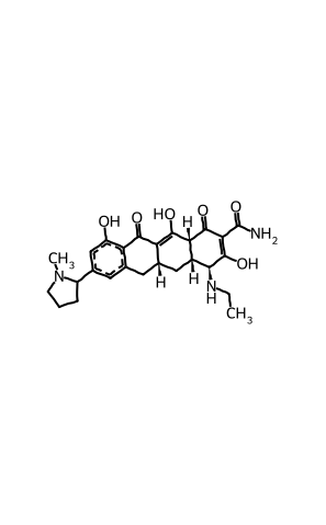 CCN[C@@H]1C(O)=C(C(N)=O)C(=O)[C@H]2C(O)=C3C(=O)c4c(O)cc(C5CCCN5C)cc4C[C@H]3C[C@H]21